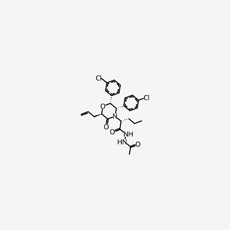 C=CC[C@H]1O[C@H](c2cccc(Cl)c2)[C@H](c2ccc(Cl)cc2)N([C@H](CCC)C(=O)NNC(C)=O)C1=O